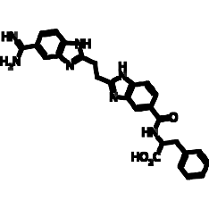 N=C(N)c1ccc2[nH]c(CCc3nc4cc(C(=O)NC(Cc5ccccc5)C(=O)O)ccc4[nH]3)nc2c1